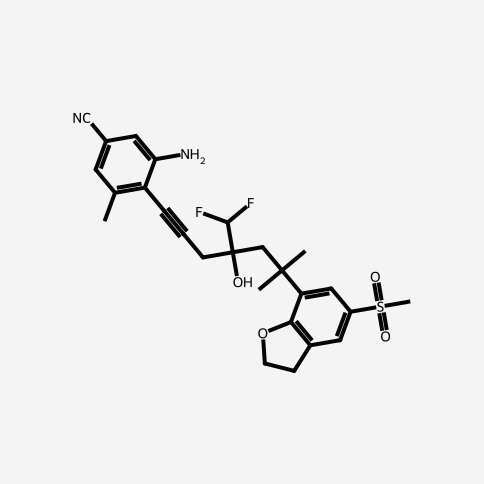 Cc1cc(C#N)cc(N)c1C#CCC(O)(CC(C)(C)c1cc(S(C)(=O)=O)cc2c1OCC2)C(F)F